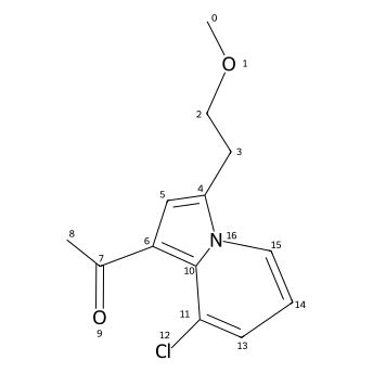 COCCc1cc(C(C)=O)c2c(Cl)cccn12